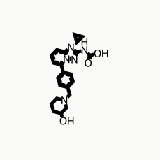 C1CC1.O=C(O)Nc1nc2cccc(-c3ccc(CN4CCCC(O)C4)cc3)n2n1